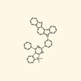 C[Si]1(C)c2ccccc2-c2c(-c3ccccc3)nc(-c3cccc(-n4c5ccccc5c5c6sc7ccccc7c6ccc54)c3)nc21